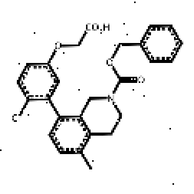 Cc1ccc(-c2cc(OCC(=O)O)ccc2Cl)c2c1CCN(C(=O)OCc1ccccc1)C2